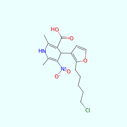 CC1=C(C(=O)O)C(c2ccoc2CCCCCCl)C([N+](=O)[O-])=C(C)N1